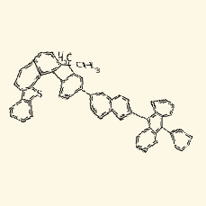 CC1(C)c2cc(-c3ccc4cc(-c5c6ccccc6c(-c6ccccc6)c6ccccc56)ccc4c3)ccc2-c2c1ccc1ccc3c4ccccc4sc3c21